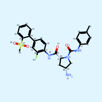 Cc1ccc(NC(=O)N2C[C@H](N)C[C@@H]2C(=O)Nc2ccc(-c3ccccc3S(C)(=O)=O)cc2F)cc1